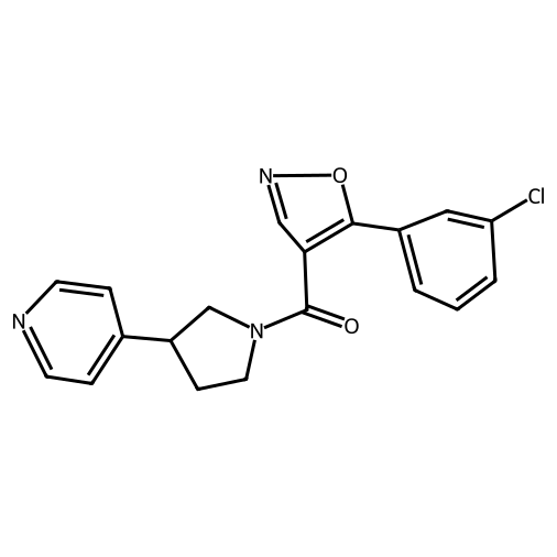 O=C(c1cnoc1-c1cccc(Cl)c1)N1CCC(c2ccncc2)C1